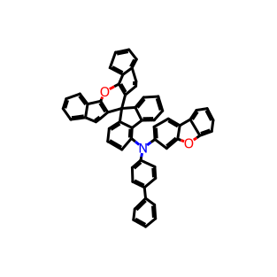 c1ccc(-c2ccc(N(c3ccc4c(c3)oc3ccccc34)c3cccc4c3-c3ccccc3C43c4ccc5ccccc5c4Oc4c3ccc3ccccc43)cc2)cc1